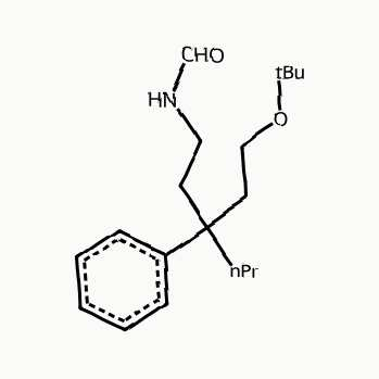 CCCC(CCNC=O)(CCOC(C)(C)C)c1ccccc1